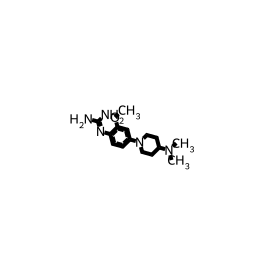 COc1cc(N2CCC(N(C)C)CC2)ccc1N=C(N)N